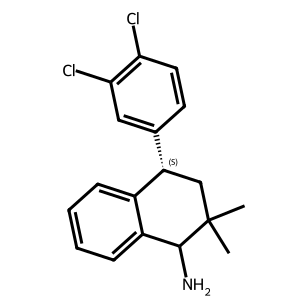 CC1(C)C[C@@H](c2ccc(Cl)c(Cl)c2)c2ccccc2C1N